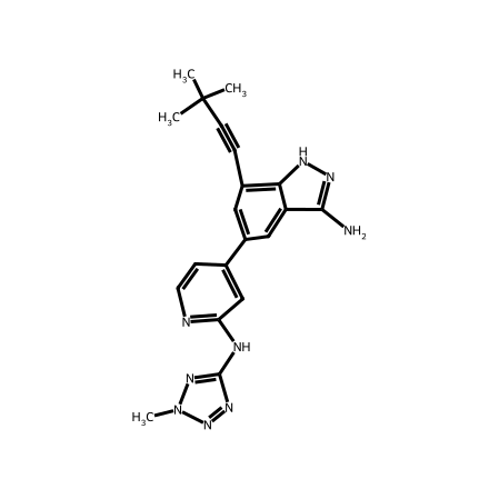 Cn1nnc(Nc2cc(-c3cc(C#CC(C)(C)C)c4[nH]nc(N)c4c3)ccn2)n1